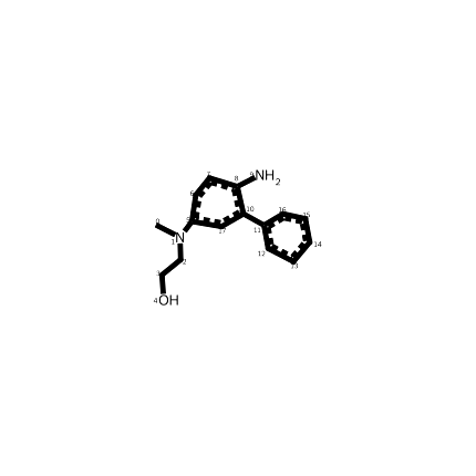 CN(CCO)c1ccc(N)c(-c2ccccc2)c1